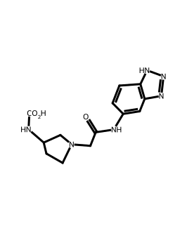 O=C(O)NC1CCN(CC(=O)Nc2ccc3[nH]nnc3c2)C1